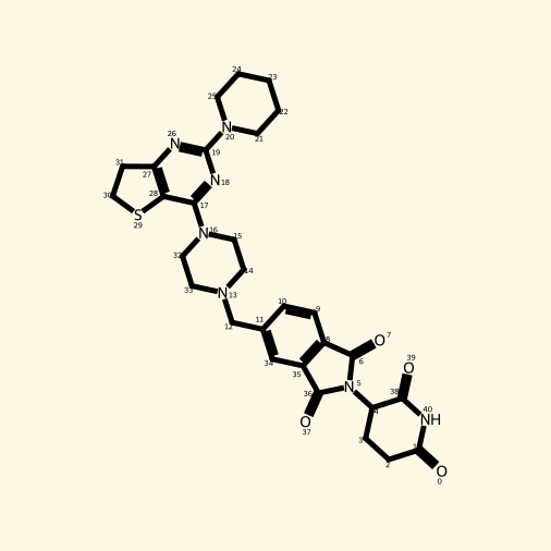 O=C1CCC(N2C(=O)c3ccc(CN4CCN(c5nc(N6CCCCC6)nc6c5SCC6)CC4)cc3C2=O)C(=O)N1